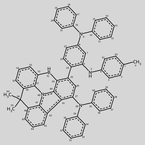 Cc1ccc(Nc2cc(N(c3ccccc3)c3ccccc3)ccc2-c2cc(N(c3ccccc3)c3ccccc3)c3c4cccc5c4n4c3c2Bc2cccc(c2-4)C5(C)C)cc1